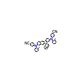 Cc1ccccc1N(c1ccc(C#N)cc1)c1ccc2c(c1)C1(c3cc4cc(N(c5ccc(C#N)cc5)c5ccccc5C)ccc4cc3-2)C2CC3CC(C2)CC1C3